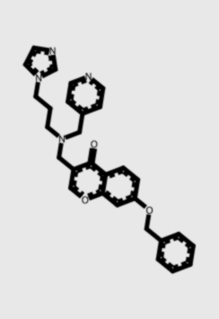 O=c1c(CN(CCCn2ccnc2)Cc2ccncc2)coc2cc(OCc3ccccc3)ccc12